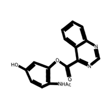 CC(=O)Nc1ccc(O)cc1OC(=O)c1ncnc2ccccc12